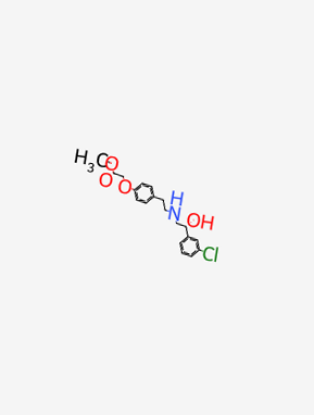 COC(=O)COc1ccc(CCNC[C@H](O)c2cccc(Cl)c2)cc1